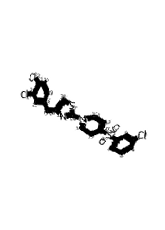 O=S(=O)(c1cccc(Cl)c1)C1CCN(c2nc(Cc3ccc(Cl)c(Cl)c3)cs2)CC1